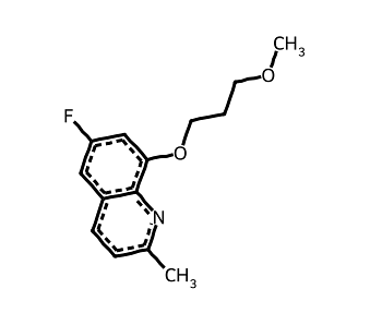 COCCCOc1cc(F)cc2ccc(C)nc12